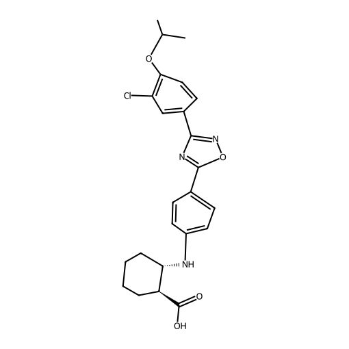 CC(C)Oc1ccc(-c2noc(-c3ccc(N[C@H]4CCCC[C@@H]4C(=O)O)cc3)n2)cc1Cl